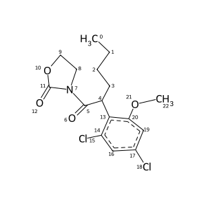 CCCCC(C(=O)N1CCOC1=O)c1c(Cl)cc(Cl)cc1OC